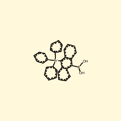 OB(O)c1c2ccccc2c([N+](c2ccccc2)(c2ccccc2)c2ccccc2)c2ccccc12